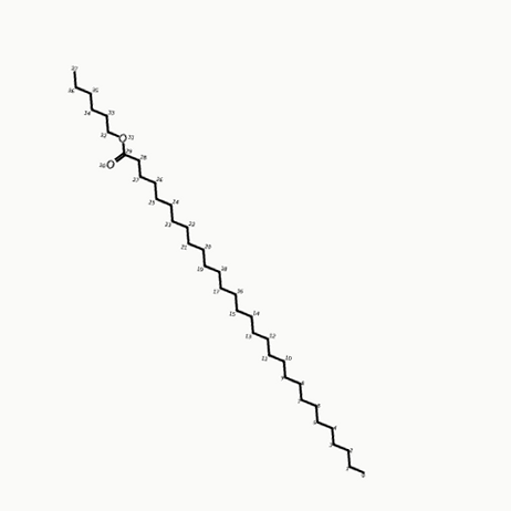 CCCCCCCCCCCCCCCCCCCCCCCCCCCCCC(=O)OCCCCCC